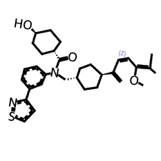 C=C(/C=C\C(OC)=C(C)C)[C@H]1CC[C@H](CN(c2cccc(-c3ccsn3)c2)C(=O)[C@H]2CC[C@H](O)CC2)CC1